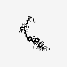 Cc1ccc([C@]23OC[C@](C(C)(C)O)(O2)[C@@H](O)[C@H](O)[C@H]3O)cc1Cc1ccc(CCCC(=O)N2C(=O)CCC2C(=O)NCCN(C)C)cc1